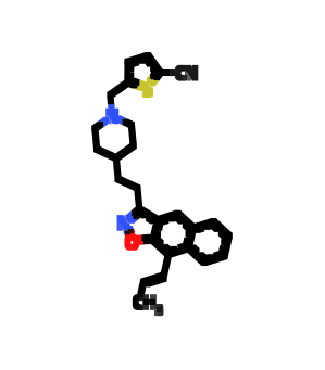 CC=Cc1c2ccccc2cc2c(CCC3CCN(Cc4ccc(C#N)s4)CC3)noc12